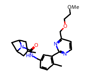 COCCOCc1ccnc(-c2cc(NC(=O)N3C4CC(C)CC3C4)ccc2C)n1